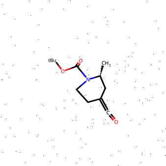 C[C@H]1CC(=C=O)CCN1C(=O)OC(C)(C)C